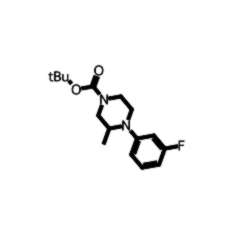 CC1CN(C(=O)OC(C)(C)C)CCN1c1cccc(F)c1